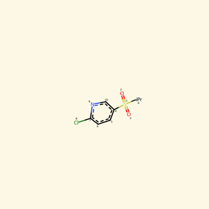 CC(C)S(=O)(=O)c1ccc(Cl)nc1